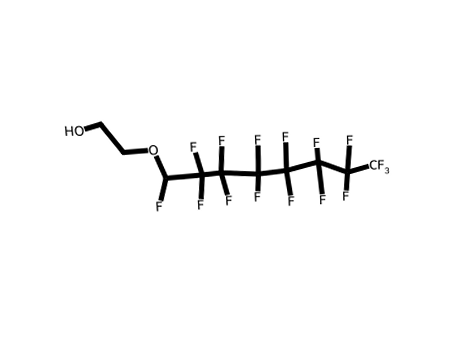 OCCOC(F)C(F)(F)C(F)(F)C(F)(F)C(F)(F)C(F)(F)C(F)(F)C(F)(F)F